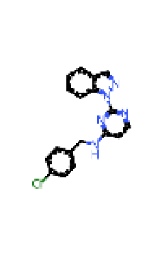 Clc1ccc(CNc2ccnc(-n3ncc4ccccc43)n2)cc1